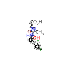 CC1=NN(CCCC(=O)O)C(=O)/C1=N\Nc1cccc(CCc2ccc(F)cc2F)c1O